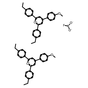 CCc1ccc(-c2cc(-c3ccc(OC)cc3)cc(-c3ccc(CC)cc3)[o+]2)cc1.CCc1ccc(-c2cc(-c3ccc(OC)cc3)cc(-c3ccc(CC)cc3)[o+]2)cc1.[O-]B([O-])F